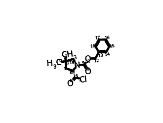 CC1(C)C[C@@H](C(=O)Cl)N(C(=O)OCc2ccccc2)C1